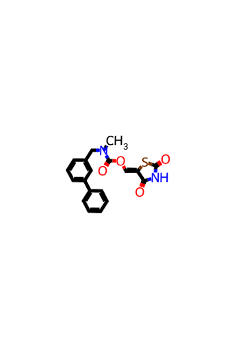 CN(Cc1cccc(-c2ccccc2)c1)C(=O)OC=C1SC(=O)NC1=O